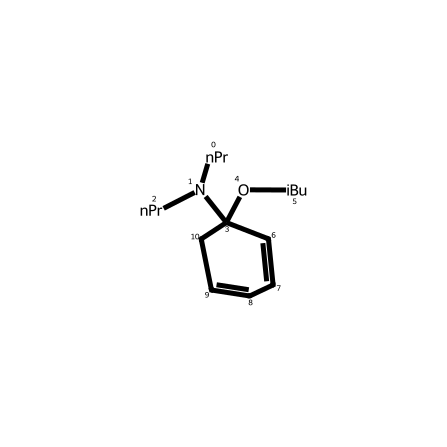 CCCN(CCC)C1(OC(C)CC)C=CC=CC1